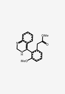 COC(=O)Cc1cccc(OC)c1C1=c2ccccc2=NCN1